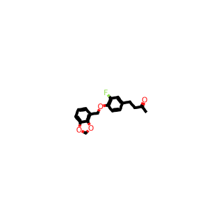 CC(=O)CCc1ccc(OCc2cccc3c2OCO3)c(F)c1